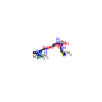 Cc1ncsc1-c1ccc(CNC(=O)[C@@H]2C[C@@H](O)CN2C(=O)C(NC(=O)Cc2ccc(OCCOCCNC(=O)/C=C/c3cc(F)c([C@@H]4c5[nH]c6ccccc6c5C[C@@H](C)N4CC(C)(C)F)c(F)c3)cc2)C(C)(C)C)cc1